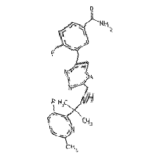 Cc1ccc(F)c(C(C)(C)Nc2ncc(-c3cc(C(N)=O)ccc3F)nn2)n1